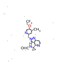 Cc1cc(Cn2cc3c(C4(NC=O)CC4)nccc3n2)ncc1OCC(F)(F)F